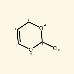 ClC1OC=CCO1